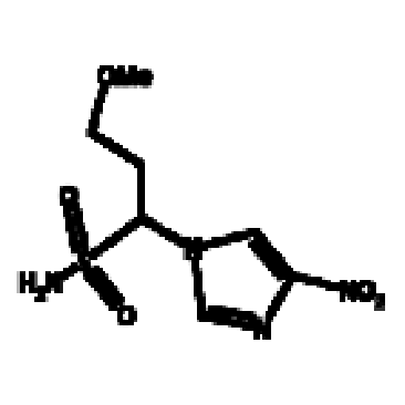 COCCC(n1cnc([N+](=O)[O-])c1)S(N)(=O)=O